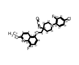 COc1ccc2c(OCC3(N=C=O)CCN(c4ccc(Cl)cc4F)CC3)ccc(F)c2n1